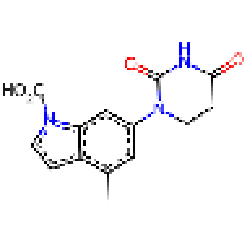 Cc1cc(N2CCC(=O)NC2=O)cc2c1ccn2C(=O)O